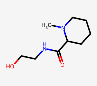 CN1CCCCC1C(=O)NCCO